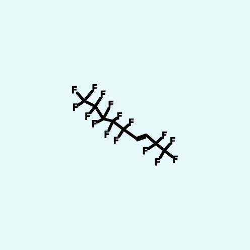 FC(F)(F)C(F)(F)C=CC(F)(F)C(F)(F)C(F)(F)C(F)(F)C(F)(F)F